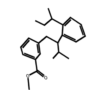 CCC(C)c1ccccc1[C](Cc1cccc(C(=O)OC)c1)C(C)C